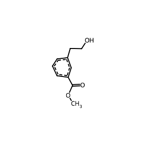 COC(=O)c1cccc(CCO)c1